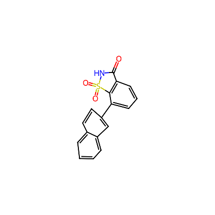 O=C1NS(=O)(=O)c2c1cccc2-c1ccc2ccccc2c1